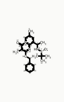 Cc1cc(C(C)N[S@+]([O-])C(C)(C)C)c2nc(OCc3ccccc3)c(C)c(=O)n2c1